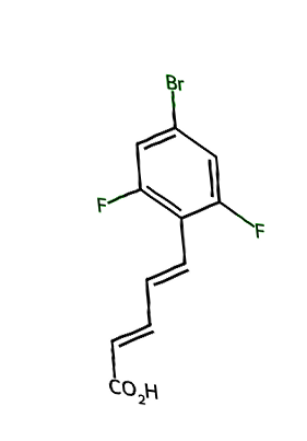 O=C(O)/C=C/C=Cc1c(F)cc(Br)cc1F